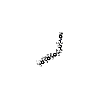 COc1c(NC(=O)c2ccc(NC(=O)c3ccc(NC(=O)[C@H](C)NC(=O)c4ccc(NC(=O)/C(C)=C/c5ccc(O)cc5)nc4)cc3)c(OC)c2O)ccc(C(=O)O)c1O